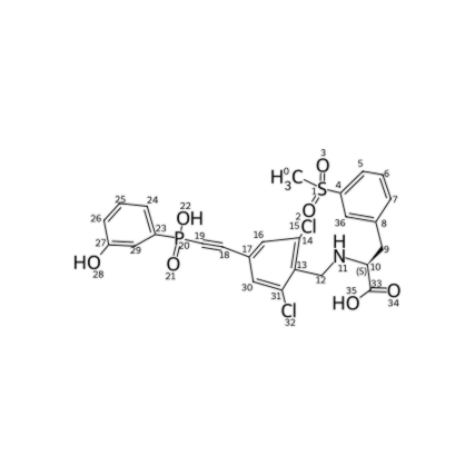 CS(=O)(=O)c1cccc(C[C@H](NCc2c(Cl)cc(C#CP(=O)(O)c3cccc(O)c3)cc2Cl)C(=O)O)c1